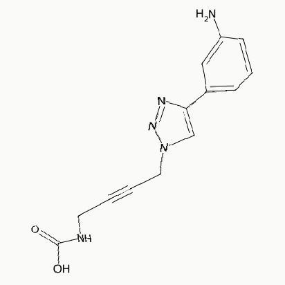 Nc1cccc(-c2cn(CC#CCNC(=O)O)nn2)c1